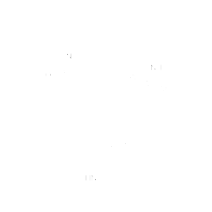 CCN(CC)C(=O)c1ccc(C2=CC3(CCCNCC3)Oc3ccc(S(=O)(=O)NC)cc32)cc1